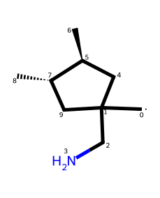 [CH2]C1(CN)C[C@H](C)[C@@H](C)C1